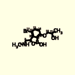 CNCC1OB(O)c2c(OCC(C)O)ccc(Br)c21